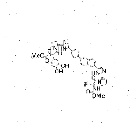 COC(=O)NC(C(=O)N1CCC[C@H]1c1ncc(-c2ccc(-c3ccc4cc(-c5cnc([C@@H]6CCCN6C(=O)[C@@H](NC(=O)OC)C(C)C)[nH]5)ccc4c3)cc2)[nH]1)c1ccc(O)c(O)c1